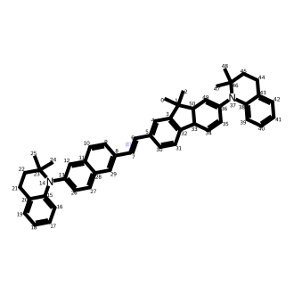 CC1(C)c2cc(/C=C/c3ccc4cc(N5c6ccccc6CCC5(C)C)ccc4c3)ccc2C2C=CC(N3c4ccccc4CCC3(C)C)=CC21